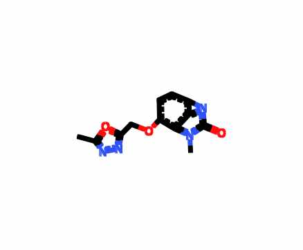 Cc1nnc(COc2ccc3c4c2n(C)c(=O)n4-3)o1